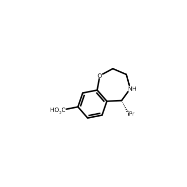 CC(C)[C@H]1NCCOc2cc(C(=O)O)ccc21